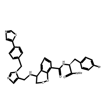 CNC(=O)[C@H](Cc1ccc(Br)cc1)NC(=O)c1cccc2c1OCCC2NCc1cncn1Cc1ccc(-c2cncs2)cc1